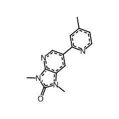 Cc1ccnc(-c2cnc3c(c2)n(C)c(=O)n3C)c1